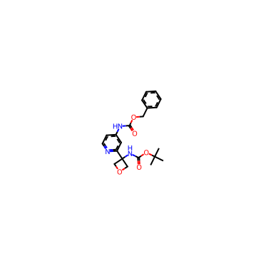 CC(C)(C)OC(=O)NC1(c2cc(NC(=O)OCc3ccccc3)ccn2)COC1